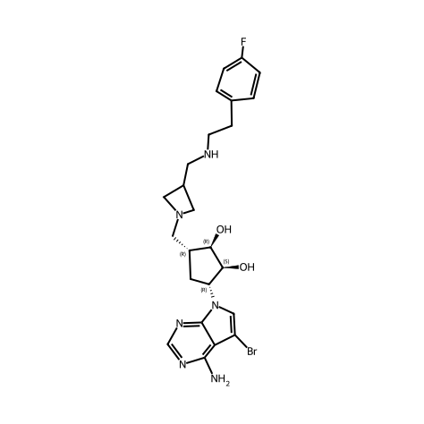 Nc1ncnc2c1c(Br)cn2[C@@H]1C[C@H](CN2CC(CNCCc3ccc(F)cc3)C2)[C@@H](O)[C@H]1O